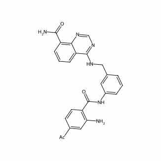 CC(=O)c1ccc(C(=O)Nc2cccc(CNc3ncnc4c(C(N)=O)cccc34)c2)c(N)c1